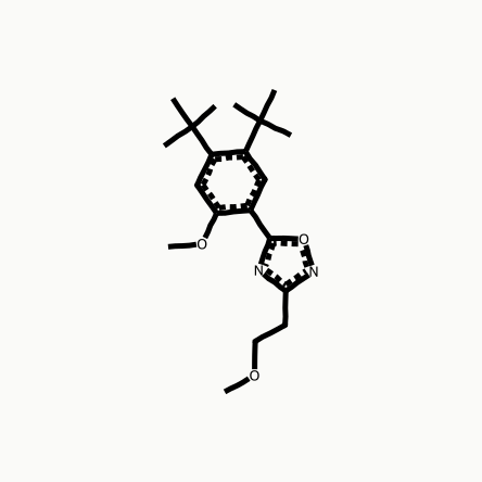 COCCc1noc(-c2cc(C(C)(C)C)c(C(C)(C)C)cc2OC)n1